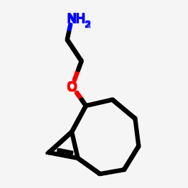 NCCOC1CCCCCC2=CC21